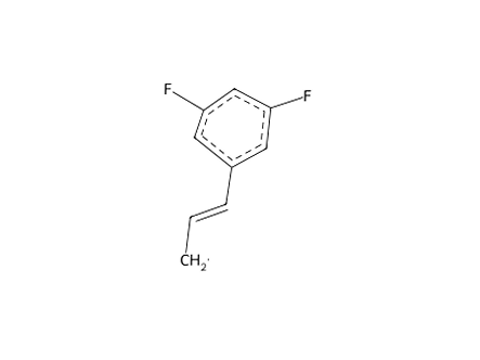 [CH2]C=Cc1cc(F)cc(F)c1